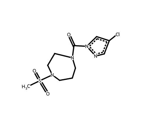 CS(=O)(=O)N1CCCN(C(=O)n2cc(Cl)cn2)CC1